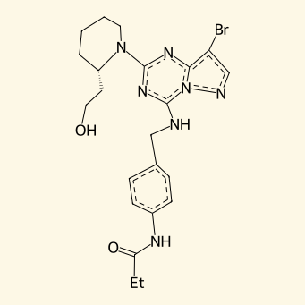 CCC(=O)Nc1ccc(CNc2nc(N3CCCC[C@H]3CCO)nc3c(Br)cnn23)cc1